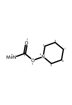 CNC(=O)ON1[CH]CCCC1